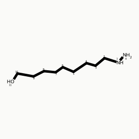 NNCCCCCCCCCO